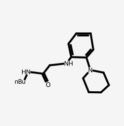 CCCCNC(=O)CNc1ccccc1N1CCCCC1